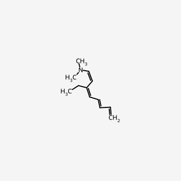 C=C/C=C/C=C(\C=C/N(C)C)CC